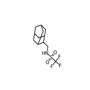 O=S(=O)(NCC1C2CC3CC(C2)CC1C3)C(F)(F)F